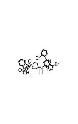 CS(=O)(=O)c1ccccc1S(=O)(=O)N1CCC(Nc2cc(-c3ccccc3Cl)nc3c(Br)cnn23)CC1